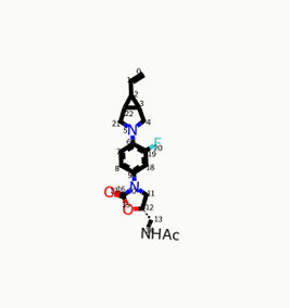 C=CC1C2CN(c3ccc(N4C[C@H](CNC(C)=O)OC4=O)cc3F)CC12